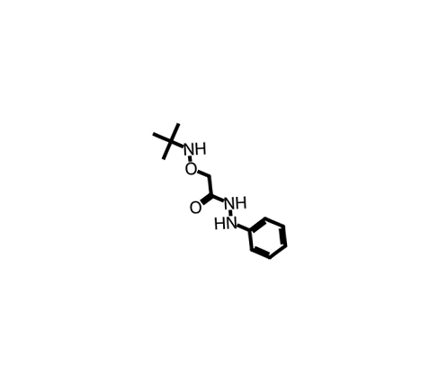 CC(C)(C)NOCC(=O)NNc1ccccc1